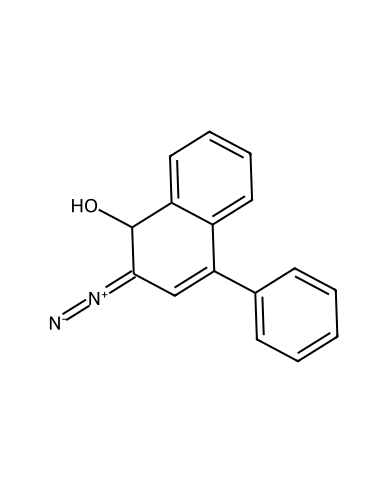 [N-]=[N+]=C1C=C(c2ccccc2)c2ccccc2C1O